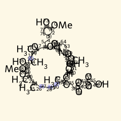 CO[C@@H]1C[C@H](CC[C@@H]2CC(=O)[C@H](C)/C=C(\C)[C@@H](O)[C@@H](OC)C(=O)[C@H](C)C[C@H](C)/C=C/C=C/C=C(\C)[C@@H](OCCS(=O)(=O)CCS(=O)(=O)CCO)C[C@@H]3CC[C@@H](C)[C@@](O)(O3)C(=O)C(=O)N3CCCC[C@H]3C(=O)O2)CC[C@H]1O